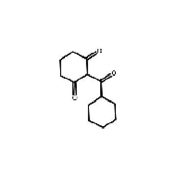 O=C1CCCC(=O)C1C(=O)C1CCCCC1